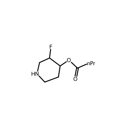 CCCC(=O)OC1CCNCC1F